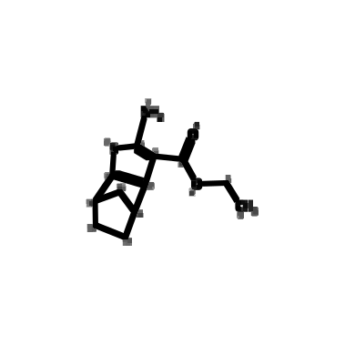 CCOC(=O)c1c(N)sc2c1C1CCC2C1